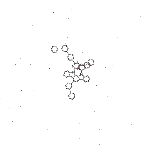 c1ccc(-c2cccc(-c3ccc(-c4nc(-c5ccccc5)nc(-n5c6ccccc6c6c(-c7cccc(-c8ccccc8)c7)cc7c8ccccc8n(-c8cccc(-c9ccccc9)c8)c7c65)n4)cc3)c2)cc1